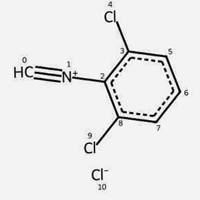 C#[N+]c1c(Cl)cccc1Cl.[Cl-]